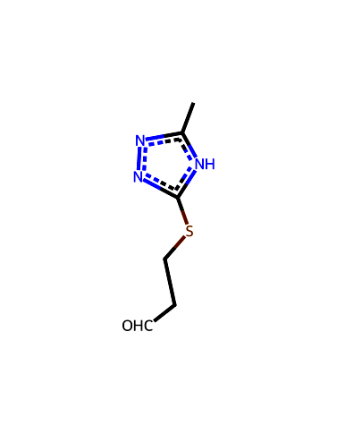 Cc1nnc(SCCC=O)[nH]1